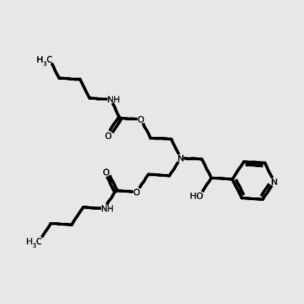 CCCCNC(=O)OCCN(CCOC(=O)NCCCC)CC(O)c1ccncc1